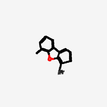 Cc1cccc2c1oc1c(C(C)C)cccc12